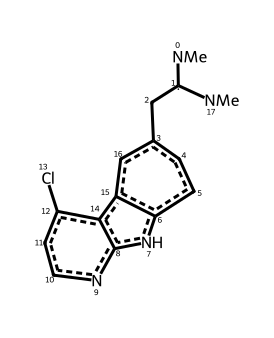 CN[C](Cc1ccc2[nH]c3nccc(Cl)c3c2c1)NC